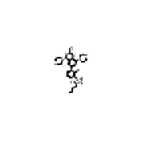 O=S(=O)(CCCF)Nc1cccc(-c2cc(N3CCOCC3)c3nc(Cl)nc(N4CCOCC4)c3c2)c1F